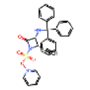 C#C[C@H]1[C@H](NC(c2ccccc2)(c2ccccc2)c2ccccc2)C(=O)N1S(=O)(=O)O[n+]1ccccc1